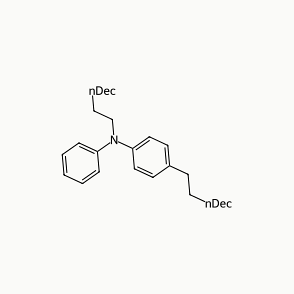 CCCCCCCCCCCCc1ccc(N(CCCCCCCCCCCC)c2ccccc2)cc1